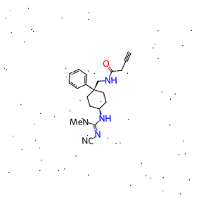 C#CCC(=O)NC[C@]1(c2ccccc2)CC[C@H](N/C(=N/C#N)NC)CC1